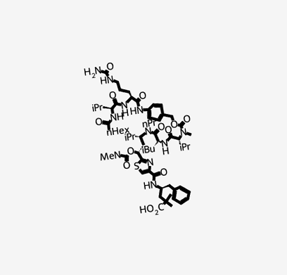 CCCCCCC(=O)N[C@H](C(=O)N[C@@H](CCCNC(N)=O)C(=O)Nc1ccc(COC(=O)N(C)[C@@H](C(=O)N[C@H](C(=O)N(CCC)[C@H](C[C@@H](OC(=O)NC)c2nc(C(=O)N[C@@H](Cc3ccccc3)CC(C)(C)C(=O)O)cs2)C(C)C)[C@@H](C)CC)C(C)C)cc1)C(C)C